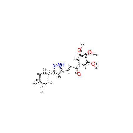 COc1cc(C(=O)/C=C/c2cc(-c3ccc(C)c(C)c3)n[nH]2)cc(OC)c1OC